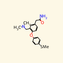 CSc1ccc(Oc2ccc(CC(N)=O)cc2CN(C)C)cc1